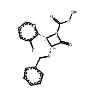 CC(C)(C)OC(=O)N1C(=O)[C@H](OCc2ccccc2)[C@@H]1c1ncccc1F